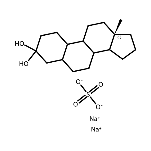 C[C@@]12CCCC1C1CCC3CC(O)(O)CCC3C1CC2.O=S(=O)([O-])[O-].[Na+].[Na+]